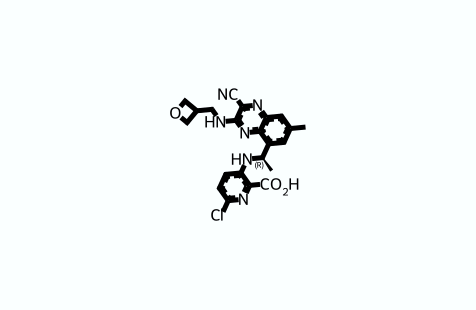 Cc1cc([C@@H](C)Nc2ccc(Cl)nc2C(=O)O)c2nc(NCC3COC3)c(C#N)nc2c1